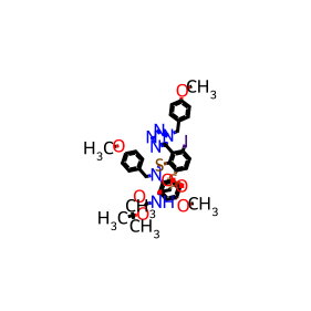 COc1ccc(CN(Sc2c(S(=O)(=O)CCNC(=O)OC(C)(C)C)ccc(I)c2-c2nnnn2Cc2ccc(OC)cc2)c2ccc(OC)cc2)cc1